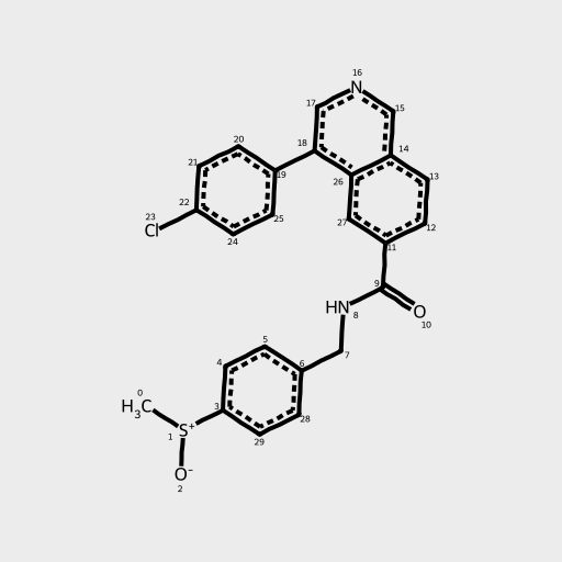 C[S+]([O-])c1ccc(CNC(=O)c2ccc3cncc(-c4ccc(Cl)cc4)c3c2)cc1